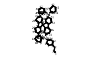 C=CCc1ccc(N(c2ccccc2)c2ccc3c(c2)C2(c4cc(C#N)ccc4-c4ccc(C#N)cc42)c2cc(N(c4ccccc4)c4ccccc4)ccc2-3)cc1